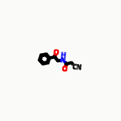 N#CCC(=O)NCC(=O)c1ccccc1